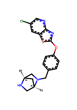 Clc1cnc2nc(Oc3ccc(CN4C[C@H]5C[C@@H]4CN5)cc3)sc2c1